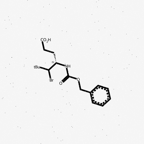 CC(C)(C)C(Br)[C@H](CCC(=O)O)NC(=O)OCc1ccccc1